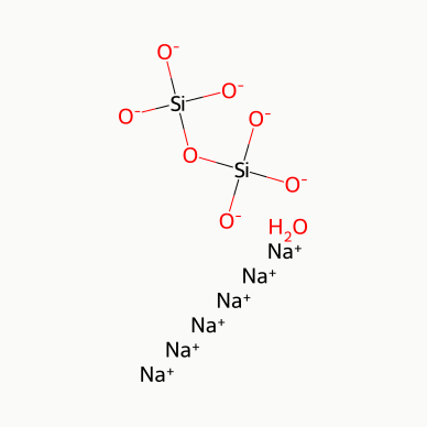 O.[Na+].[Na+].[Na+].[Na+].[Na+].[Na+].[O-][Si]([O-])([O-])O[Si]([O-])([O-])[O-]